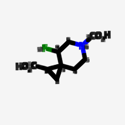 O=C(O)C1CC12CCN(C(=O)O)CC2F